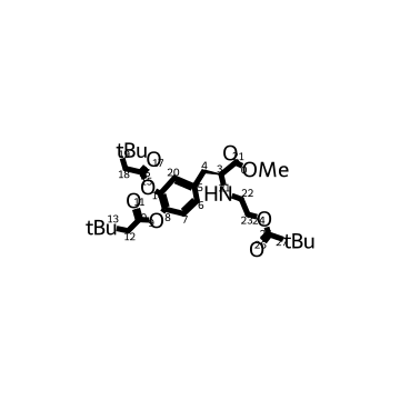 COC(=O)[C@H](Cc1ccc(OC(=O)CC(C)(C)C)c(OC(=O)CC(C)(C)C)c1)NCCOC(=O)C(C)(C)C